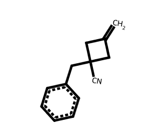 C=C1CC(C#N)(Cc2ccccc2)C1